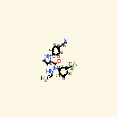 CCNN(C(=O)c1ccnn1-c1ccc(C#N)cc1)c1cccc(C(F)(F)F)c1